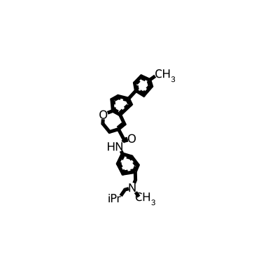 Cc1ccc(-c2ccc3c(c2)C=C(C(=O)Nc2ccc(CN(C)CC(C)C)cc2)CCO3)cc1